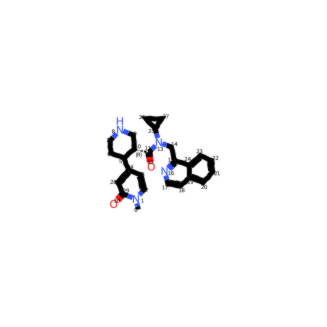 Cn1ccc(C2CCNC[C@@H]2C(=O)N(Cc2nccc3ccccc23)C2CC2)cc1=O